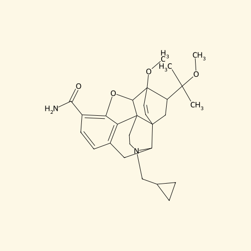 COC(C)(C)C1CC23C=CC1(OC)C1Oc4c(C(N)=O)ccc5c4C12CCN(CC1CC1)C3C5